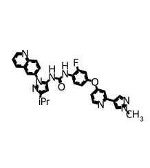 CC(C)c1cc(NC(=O)Nc2ccc(Oc3ccnc(-c4cnn(C)c4)c3)cc2F)n(-c2ccc3ncccc3c2)n1